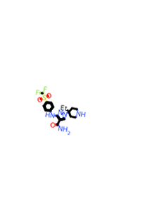 CCC1(n2cc(C(N)=O)c(Nc3ccc(S(=O)(=O)C(F)F)cc3)n2)CCNCC1